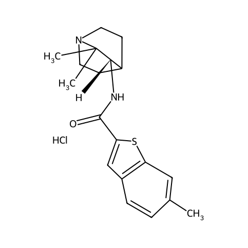 Cc1ccc2cc(C(=O)N[C@H]3C4CCN(CC4)C3(C)C)sc2c1.Cl